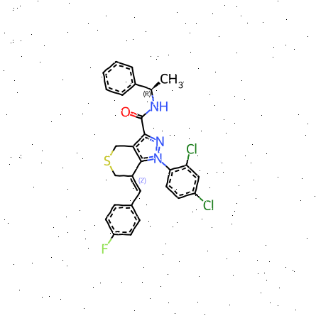 C[C@@H](NC(=O)c1nn(-c2ccc(Cl)cc2Cl)c2c1CSC/C2=C\c1ccc(F)cc1)c1ccccc1